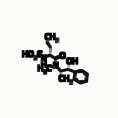 C=CC[C@@H](NC(=O)O)C(=O)N(C)[C@@H](C)[C@H](O)c1ccccc1